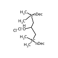 CCCCCCCCCC[N+](C)(C)CC(O)C[N+](C)(C)CCCCCCCCCC.[Cl-].[Cl-]